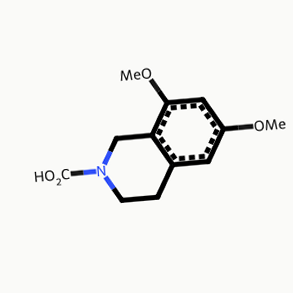 COc1cc2c(c(OC)c1)CN(C(=O)O)CC2